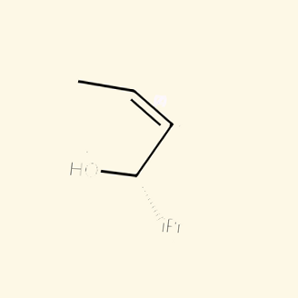 C/C=C\[C@@H](O)C(C)C